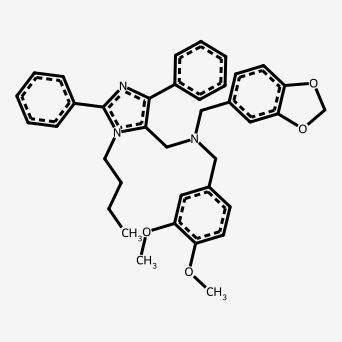 CCCCn1c(-c2ccccc2)nc(-c2ccccc2)c1CN(Cc1ccc(OC)c(OC)c1)Cc1ccc2c(c1)OCO2